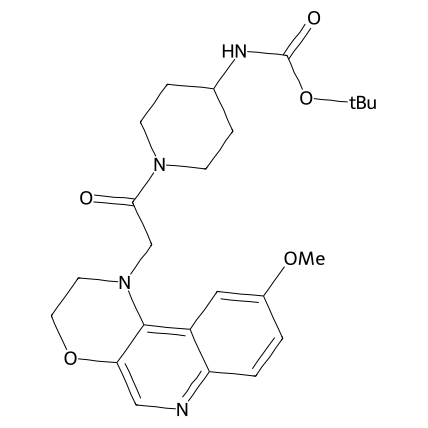 COc1ccc2ncc3c(c2c1)N(CC(=O)N1CCC(NC(=O)OC(C)(C)C)CC1)CCO3